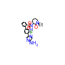 CCN1CCCC[C@H](NS(=O)(=O)c2ccccc2-c2ccc(-c3cnc(N)cn3)c(F)c2)C1=O